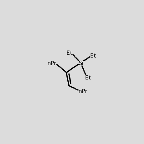 CCCC=C(CCC)[Si](CC)(CC)CC